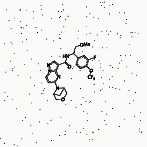 COCC(NC(=O)c1cnn2ccc(N3C4COCC3C4)nc12)c1ccc(OC(F)(F)F)c(F)c1